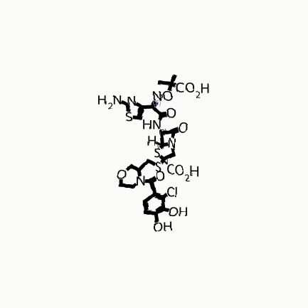 CC(C)(O/N=C(\C(=O)N[C@@H]1C(=O)N2C[C@](SCC3COCCN3C(=O)c3ccc(O)c(O)c3Cl)(C(=O)O)S[C@H]12)c1csc(N)n1)C(=O)O